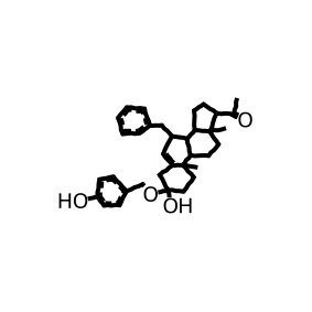 CC(=O)C1CCC2C3C(Cc4ccccc4)C=C4CC(O)(OCc5ccc(O)cc5)CCC4(C)C3CCC12C